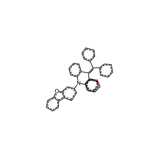 c1ccc(C(=C(c2ccccc2)c2ccccc2N(c2ccccc2)c2ccc3c(c2)oc2ccccc23)c2ccccc2)cc1